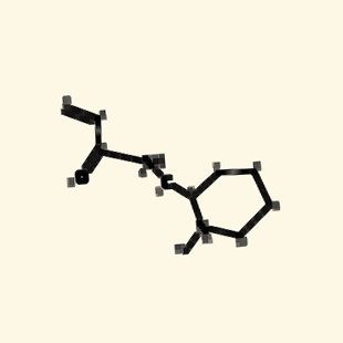 C=CC(=O)NCC1CCCCN1C